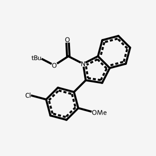 COc1ccc(Cl)cc1-c1cc2ccccc2n1C(=O)OC(C)(C)C